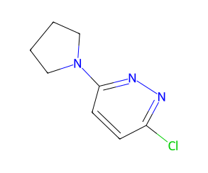 Clc1ccc(N2CCCC2)nn1